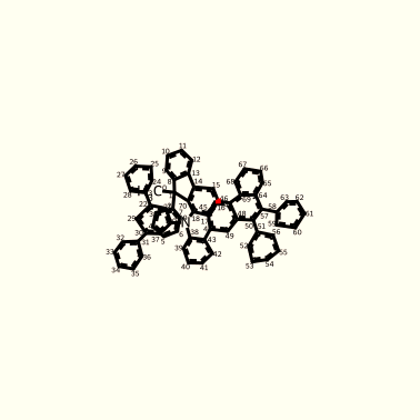 CC1(c2ccccc2)c2ccccc2-c2cccc(N(c3cc(-c4ccccc4)cc(-c4ccccc4)c3)c3ccccc3-c3ccc4c(c3)c(-c3ccccc3)c(-c3ccccc3)c3ccccc34)c21